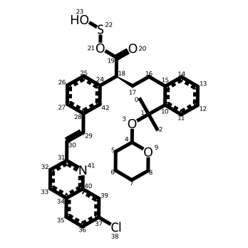 CC(C)(OC1CCCCO1)c1ccccc1CC[C@H](C(=O)OSO)c1cccc(/C=C/c2ccc3ccc(Cl)cc3n2)c1